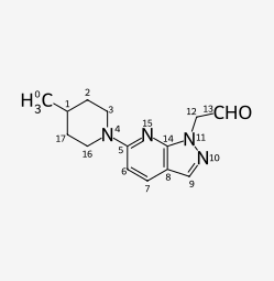 CC1CCN(c2ccc3cnn(CC=O)c3n2)CC1